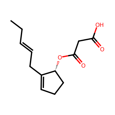 CCC=CCC1=CCC[C@H]1OC(=O)CC(=O)O